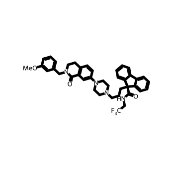 COc1cccc(CN2CCc3ccc(N4CCN(CCCC5(C(=O)NCC(F)(F)F)c6ccccc6-c6ccccc65)CC4)cc3C2=O)c1